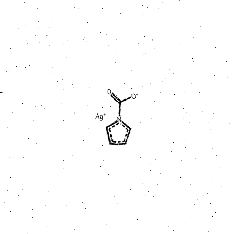 O=C([O-])n1cccc1.[Ag+]